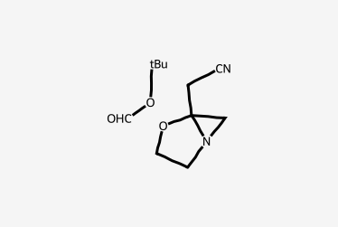 CC(C)(C)OC=O.N#CCC12CN1CCO2